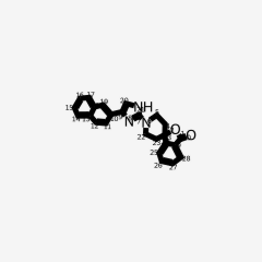 O=C1OC2(CCN(c3nc(-c4ccc5ccccc5c4)c[nH]3)CC2)c2ccccc21